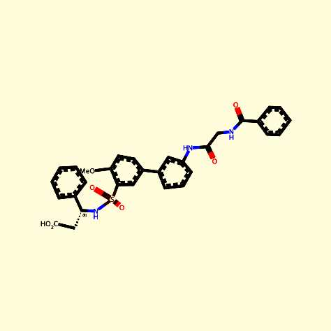 COc1ccc(-c2cccc(NC(=O)CNC(=O)c3ccccc3)c2)cc1S(=O)(=O)N[C@H](CC(=O)O)c1ccccc1